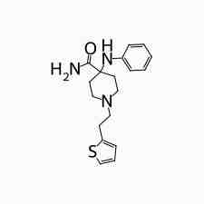 NC(=O)C1(Nc2ccccc2)CCN(CCc2cccs2)CC1